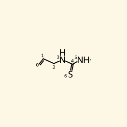 C=CCNC([NH])=S